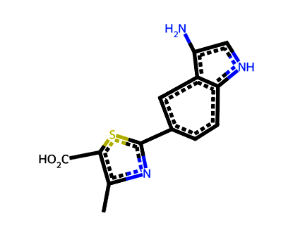 Cc1nc(-c2ccc3[nH]cc(N)c3c2)sc1C(=O)O